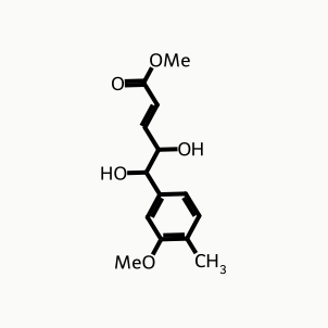 COC(=O)/C=C/C(O)C(O)c1ccc(C)c(OC)c1